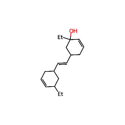 CCC1C=CCC(C=CC2CC=CC(O)(CC)C2)C1